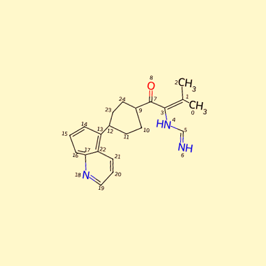 CC(C)=C(NC=N)C(=O)C1CCC(c2cccc3ncccc23)CC1